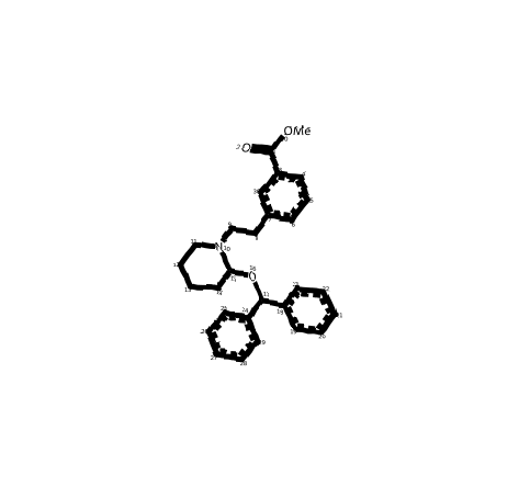 COC(=O)c1cccc(CCN2CCCCC2OC(c2ccccc2)c2ccccc2)c1